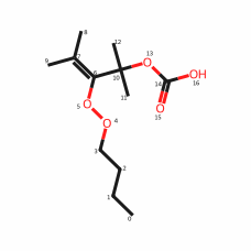 CCCCOOC(=C(C)C)C(C)(C)OC(=O)O